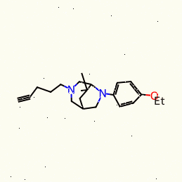 C#CCCCN1CC2CN(c3ccc(OCC)cc3)C(C1)C(C)(C)C2